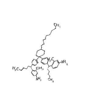 CCCCCCCCCC1CCC(c2ccc(C(CCCCC)c3ccc(N)cc3C)cc2)(c2ccc(C(CCCCC)c3ccc(N)cc3C)cc2)CC1